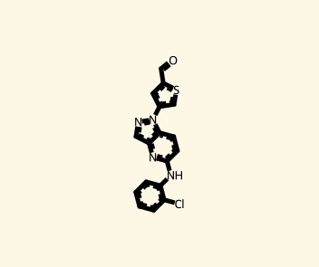 O=Cc1cc(-n2ncc3nc(Nc4ccccc4Cl)ccc32)cs1